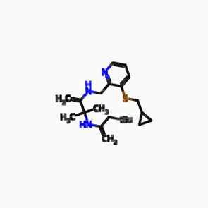 C=C(CC(C)(C)C)NC(C)(C)C(=C)NCc1ncccc1SCC1CC1